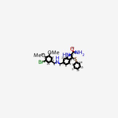 COc1cc(CNCc2ccc3c(Sc4ccccc4)c(C(N)=O)[nH]c3c2)cc(Br)c1OC